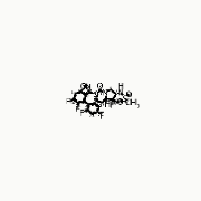 CS(=O)(=O)N[C@@H]1CN2C(=O)N(c3noc4cc(F)c(F)c(-c5c(F)cc(F)cc5F)c34)CC[C@@H]2C1(F)F